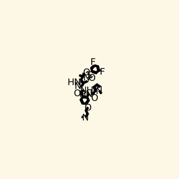 CN(C)CCOc1ccc(C(=O)Nc2n[nH]c3c2CN(S(=O)(=O)c2cc(F)cc(F)c2)C3(C)C)c(NC(=O)c2cccn2C)c1